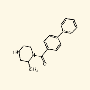 CC1CNCCN1C(=O)c1ccc(-c2ccccc2)cc1